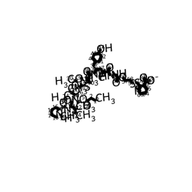 CCCC(=O)OCN(C(=O)[C@@H](NC(=O)[C@H]1CCCCN1C)C(C)CC)[C@H](C[C@@H](OC(C)=O)c1nc(C(=O)N[C@@H](Cc2ccc(O)cc2)C[C@H](C)C(=O)NNC(=O)OCCSSc2ncccc2[N+](=O)[O-])cs1)C(C)C